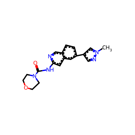 Cn1cc(-c2ccc3cnc(NC(=O)N4CCOCC4)cc3c2)cn1